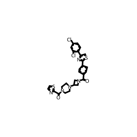 O=C(c1ccc(-c2nc(-c3ccc(Cl)cc3Cl)cs2)cc1)N1CC(N2CCN(C(=O)c3nccs3)CC2)C1